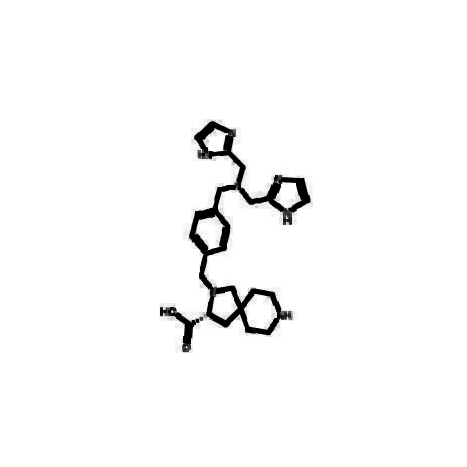 O=C(O)[C@H]1CC2(CCNCC2)CN1Cc1ccc(CN(Cc2ncc[nH]2)Cc2ncc[nH]2)cc1